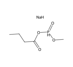 CCCC(=O)O[PH](=O)OC.[NaH]